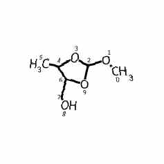 COC1OC(C)C(CO)O1